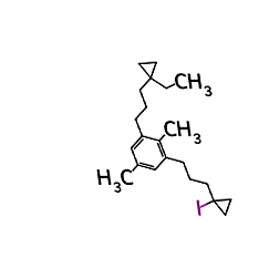 CCC1(CCCc2cc(C)cc(CCCC3(I)CC3)c2C)CC1